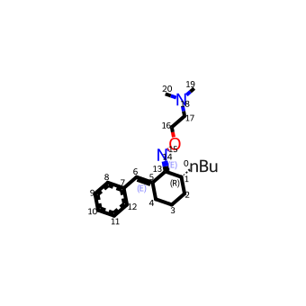 CCCC[C@@H]1CCCC(=C\c2ccccc2)/C1=N/OCCN(C)C